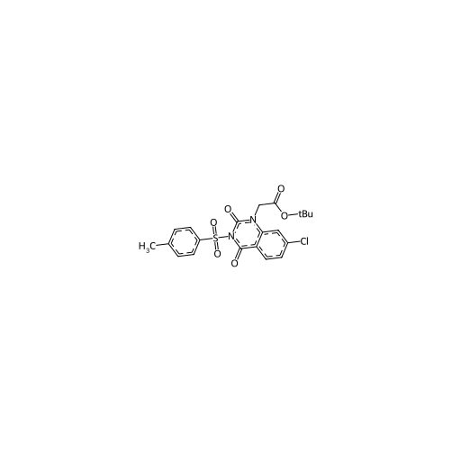 Cc1ccc(S(=O)(=O)n2c(=O)c3ccc(Cl)cc3n(CC(=O)OC(C)(C)C)c2=O)cc1